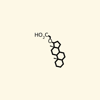 C[C@]12CCCCC1CCC1C2CC[C@]2(C)C(OCC(=O)O)CCC12